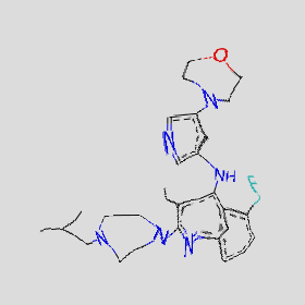 Cc1c(N2CCN(CC(C)C)CC2)nc2cccc(F)c2c1Nc1cncc(N2CCOCC2)c1